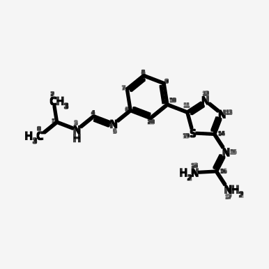 CC(C)N/C=N/c1cccc(-c2nnc(N=C(N)N)s2)c1